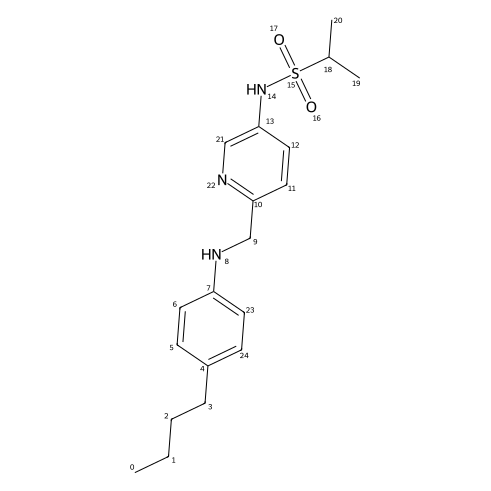 CCCCc1ccc(NCc2ccc(NS(=O)(=O)C(C)C)cn2)cc1